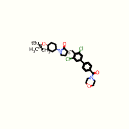 CC(C)(C)[Si](C)(C)O[C@H]1CC[C@H](N2CC[C@@H](Cc3c(Cl)cc(-c4ccc(C(=O)N5CCOCC5)cc4)cc3Cl)C2=O)CC1